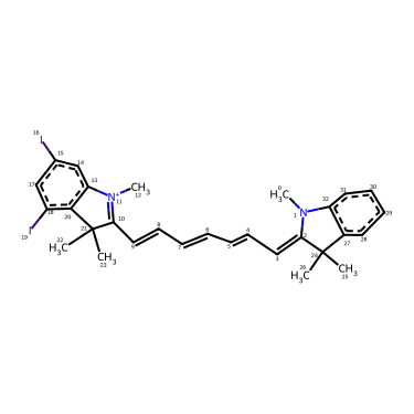 CN1\C(=C/C=C/C=C/C=C/C2=[N+](C)c3cc(I)cc(I)c3C2(C)C)C(C)(C)c2ccccc21